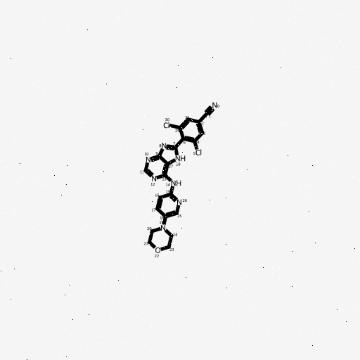 N#Cc1cc(Cl)c(-c2nc3ncnc(Nc4ccc(N5CCOCC5)cn4)c3[nH]2)c(Cl)c1